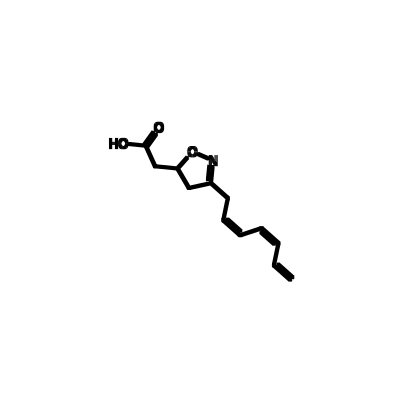 C=C/C=C\C=C/CC1=NOC(CC(=O)O)C1